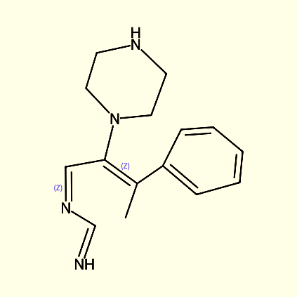 C/C(=C(\C=N/C=N)N1CCNCC1)c1ccccc1